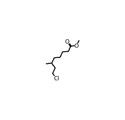 COC(=O)CCCCC(C)CCCl